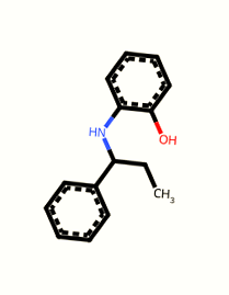 CCC(Nc1ccccc1O)c1ccccc1